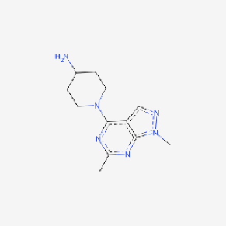 Cc1nc(N2CCC(N)CC2)c2cnn(C)c2n1